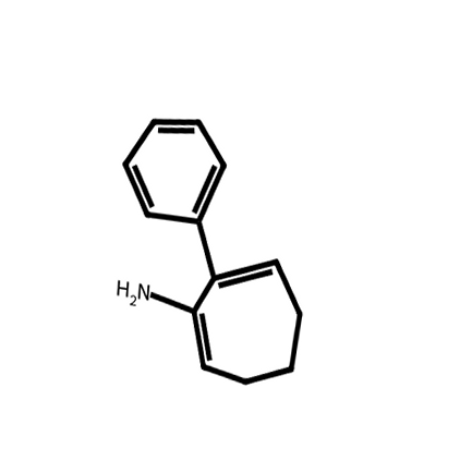 NC1=CCCCC=C1c1ccccc1